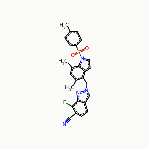 Cc1ccc(S(=O)(=O)n2ccc3c(Cn4cc5ccc(C#N)c(F)c5n4)c(C)cc(C)c32)cc1